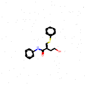 O=C(Nc1ccccc1)C(=CSc1ccccc1)CCO